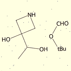 CC(C)(C)OC=O.CC(O)C1(O)CNC1